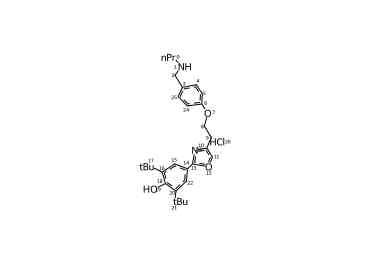 CCCNCc1ccc(OCCc2coc(-c3cc(C(C)(C)C)c(O)c(C(C)(C)C)c3)n2)cc1.Cl